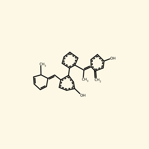 C=c1cc(O)cc/c1=C(/C)c1ccccc1-c1cc(O)ccc1/C=C1\C=CC=CC1C